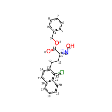 O=C(OCc1ccccc1)/C(CCc1ccc2ccccc2c1Cl)=N\O